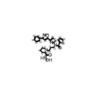 O=C(NO)C1CCCCN1CCCN(C(=O)c1cccs1)c1nc(-c2cc(-c3ccccc3)no2)cs1